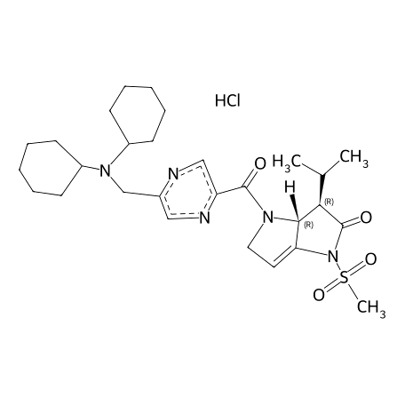 CC(C)[C@H]1C(=O)N(S(C)(=O)=O)C2=CCN(C(=O)c3cnc(CN(C4CCCCC4)C4CCCCC4)cn3)[C@@H]21.Cl